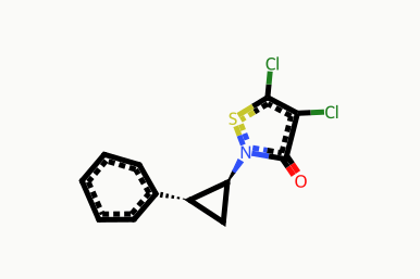 O=c1c(Cl)c(Cl)sn1[C@H]1C[C@@H]1c1ccccc1